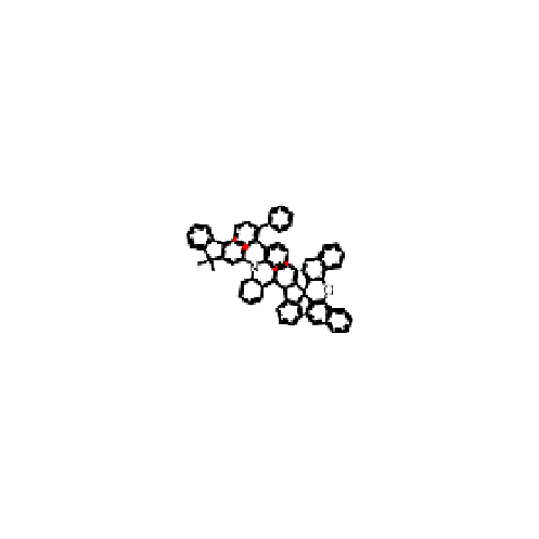 CC1(C)c2ccccc2-c2ccc(N(c3ccccc3-c3ccccc3-c3ccccc3)C3C=CC=CC3C3C=CC=C4C3c3ccccc3C43c4ccc5ccccc5c4Oc4c3ccc3ccccc43)cc21